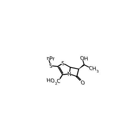 CCCSC1=C(C(=O)O)N2C(=O)[C@H](C(C)O)C2S1